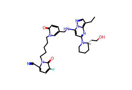 CCc1cnn2c(NCc3ccc(=O)n(CCCCCn4c(C#N)ccc(F)c4=O)c3)cc(N3CCCC[C@H]3CCO)nc12